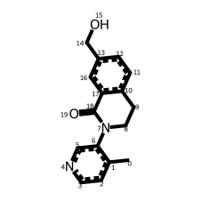 Cc1ccncc1N1CCc2ccc(CO)cc2C1=O